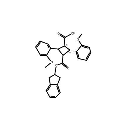 COc1ccccc1C1C(C(=O)OC2Cc3ccccc3C2)[C@@H](c2ccccc2OC)[C@@H]1C(=O)O